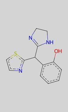 Oc1ccccc1C(C1=NCCN1)c1nccs1